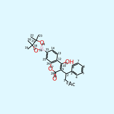 CC(=O)CC(c1ccccc1)c1c(O)c2ccc(B3OC(C)(C)C(C)(C)O3)cc2oc1=O